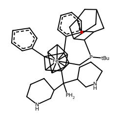 CC(C)(C)P(C[C]12[C]3(c4ccccc4)[C]4(c5ccccc5)[CH]5[C]1(C(P)(C1CCCNC1)C1CCCNC1)[Fe]54231678[CH]2[CH]1[CH]6[CH]7[CH]28)C1C2CC3CC(C2)CC1C3